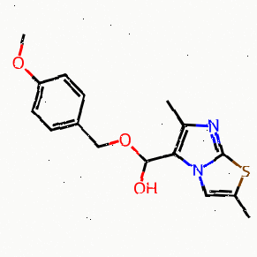 COc1ccc(COC(O)c2c(C)nc3sc(C)cn23)cc1